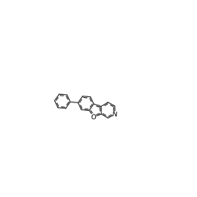 c1ccc(-c2ccc3c(c2)oc2cnccc23)cc1